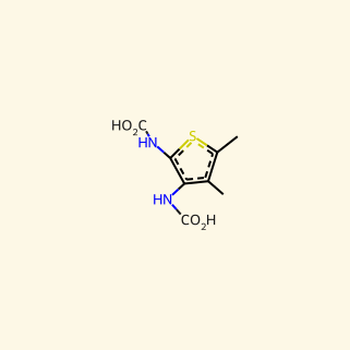 Cc1sc(NC(=O)O)c(NC(=O)O)c1C